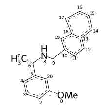 COc1cccc([C@H](C)NCc2ccc3ccccc3c2)c1